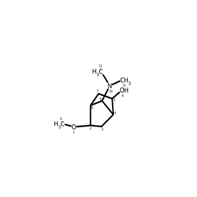 COC1CC2C(O)CC1C2N(C)C